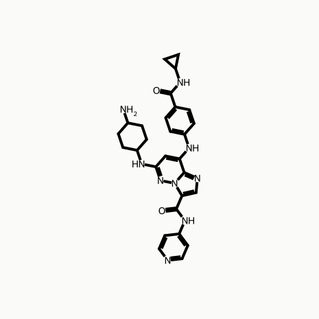 NC1CCC(Nc2cc(Nc3ccc(C(=O)NC4CC4)cc3)c3ncc(C(=O)Nc4ccncc4)n3n2)CC1